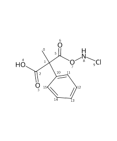 CC(C(=O)O)(C(=O)ONCl)c1ccccc1